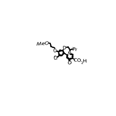 COCCCOc1cc2c(cc1Cl)-c1cc(=O)c(C(=O)O)cn1C(C(C)C)CO2